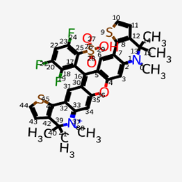 CN1c2cc3c(cc2-c2sccc2C1(C)C)C(c1c(F)c(F)cc(F)c1S(=O)(=O)O)=c1cc2c(cc1O3)=[N+](C)C(C)(C)c1ccsc1-2